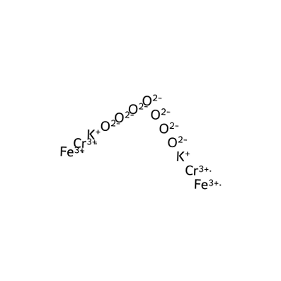 [Cr+3].[Cr+3].[Fe+3].[Fe+3].[K+].[K+].[O-2].[O-2].[O-2].[O-2].[O-2].[O-2].[O-2]